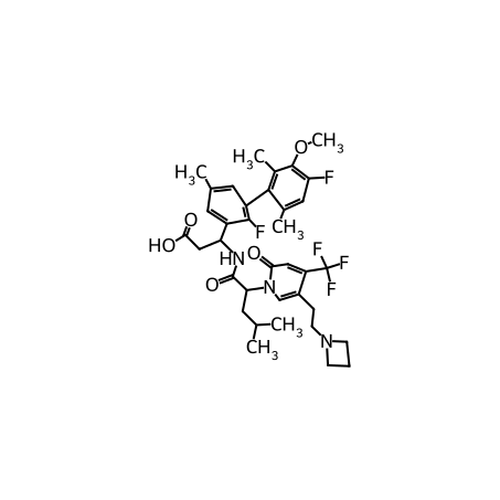 COc1c(F)cc(C)c(-c2cc(C)cc(C(CC(=O)O)NC(=O)C(CC(C)C)n3cc(CCN4CCC4)c(C(F)(F)F)cc3=O)c2F)c1C